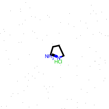 C1=NCCC1.Cl.N